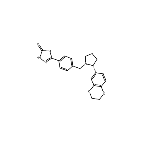 O=c1[nH]nc(-c2ccc(CN3CCC[C@@H]3c3ccc4c(c3)OCCO4)cc2)o1